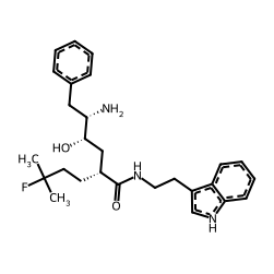 CC(C)(F)CC[C@H](C[C@H](O)[C@@H](N)Cc1ccccc1)C(=O)NCCc1c[nH]c2ccccc12